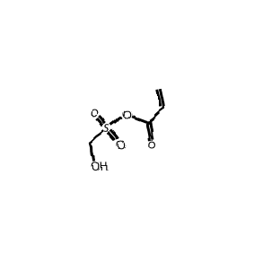 C=CC(=O)OS(=O)(=O)CO